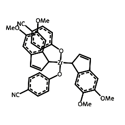 COc1cc2c(cc1OC)[CH]([Zr]([O]c1ccc(C#N)cc1)([O]c1ccc(C#N)cc1)[CH]1C=Cc3cc(OC)c(OC)cc31)C=C2